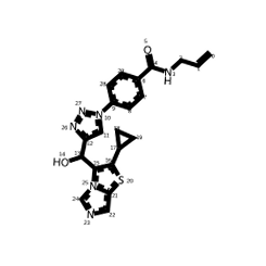 C=CCNC(=O)c1ccc(-n2cc(C(O)c3c(C4CC4)sc4cncn34)nn2)cc1